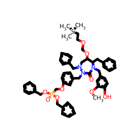 COc1cc(CN2C(=O)N(Cc3cccc(OCP(=O)(OCc4ccccc4)OCc4ccccc4)c3)N(Cc3ccccc3)CC(OCOCC[Si](C)(C)C)C2Cc2ccccc2)ccc1O